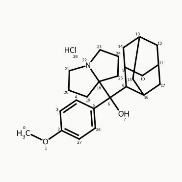 COc1ccc(C(O)(C2C3CC4CC(C3)CC2C4)C23CCCN2CCC3)cc1.Cl